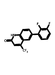 O=c1cc(C(F)(F)F)c2cc(-c3cccc(F)c3F)ccc2[nH]1